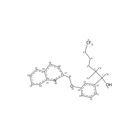 CC(C)(CCCC(F)(F)F)C(C)(O)c1cccc(OCc2ccc3ccccc3n2)c1